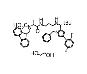 C[C@@H](C(=O)NCCCN[C@@H](c1cc(-c2cc(F)ccc2F)cn1Cc1ccccc1)C(C)(C)C)N(CC1c2ccccc2-c2ccccc21)C(=O)O.OCCO